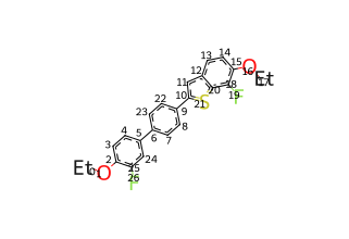 CCOc1ccc(-c2ccc(-c3cc4ccc(OCC)c(F)c4s3)cc2)cc1F